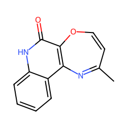 CC1=Nc2c(c(=O)[nH]c3ccccc23)OC=C1